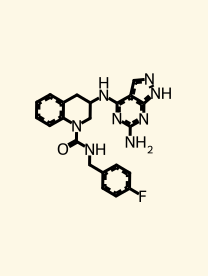 Nc1nc(NC2Cc3ccccc3N(C(=O)NCc3ccc(F)cc3)C2)c2cn[nH]c2n1